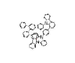 c1ccc(-c2ccccc2-c2ccccc2-c2ccc(N(c3ccc(-c4cccc5c6ccccc6n(-c6ccccc6)c45)cc3)c3ccccc3-n3c4ccccc4c4ccccc43)cc2)cc1